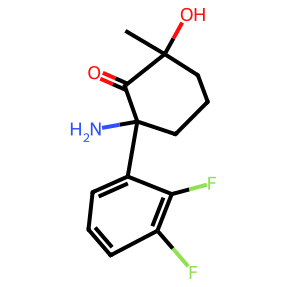 CC1(O)CCCC(N)(c2cccc(F)c2F)C1=O